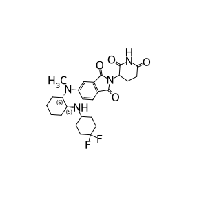 CN(c1ccc2c(c1)C(=O)N(C1CCC(=O)NC1=O)C2=O)[C@H]1CCCC[C@@H]1NC1CCC(F)(F)CC1